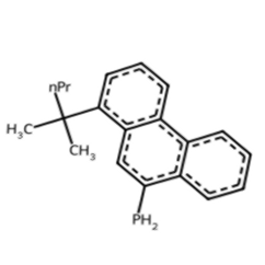 CCCC(C)(C)c1cccc2c1cc(P)c1ccccc12